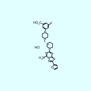 Cl.Nc1nc(N2CCC[C@@H](CN3CCN(c4cc(F)cc(C(=O)O)c4)CC3)C2)nc2nc(-c3ccco3)nn12